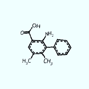 Cc1cc(C(=O)O)c(N)c(-c2ccccc2)c1C